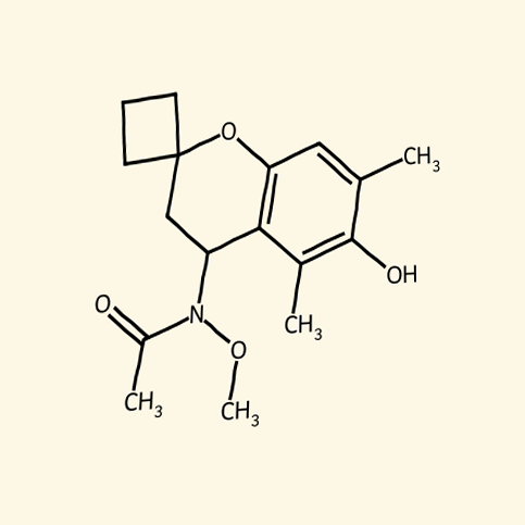 CON(C(C)=O)C1CC2(CCC2)Oc2cc(C)c(O)c(C)c21